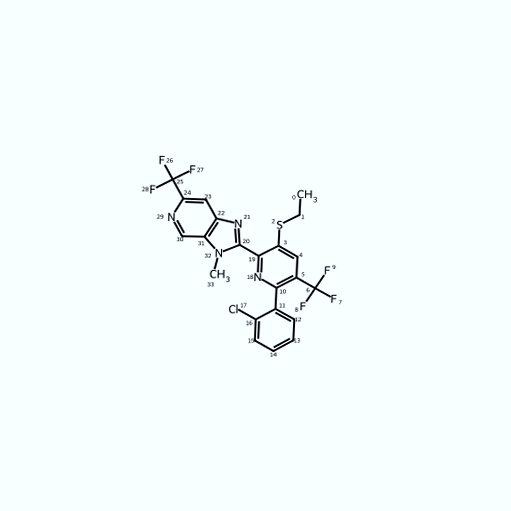 CCSc1cc(C(F)(F)F)c(-c2ccccc2Cl)nc1-c1nc2cc(C(F)(F)F)ncc2n1C